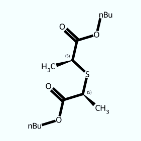 CCCCOC(=O)[C@H](C)S[C@@H](C)C(=O)OCCCC